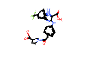 O=C(O)c1nc2ccc(C(F)(F)F)cc2nc1Nc1ccc(C(=O)N2CCC(C(=O)O)C2)cc1